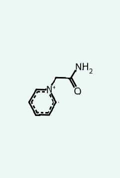 NC(=O)C[n+]1[c]cccc1